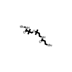 CC(C)(C)CCC(=O)NCCC(C)(C)OCC(C)(C)C(=O)NC(C)(C)C